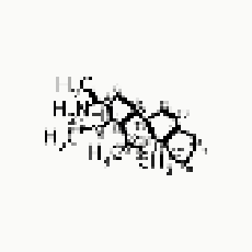 C=CNc1c(C(=C)N)ccc(-c2ccc3c(c2)CCCC3)c1C(C)CC